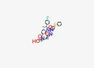 CCC(C(=O)Nc1cccc2c1O[C@H](CN(C)Cc1ccc(Sc3ccccc3)cc1)[C@H](C)CN([C@@H](C)CO)C2=O)c1ccc(F)cc1